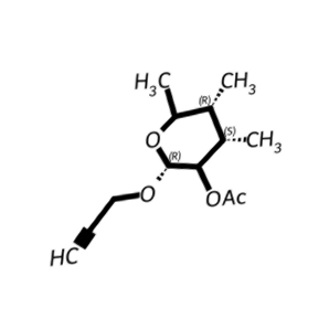 C#CCO[C@@H]1OC(C)[C@H](C)[C@H](C)C1OC(C)=O